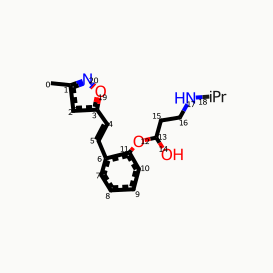 Cc1cc(C=Cc2ccccc2OC(O)CCNC(C)C)on1